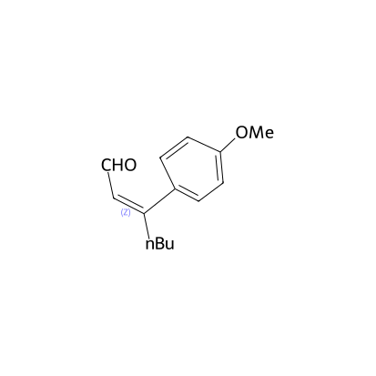 CCCC/C(=C/C=O)c1ccc(OC)cc1